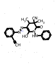 C#Cc1ccccc1/N=N/C1=C(O)N(Nc2ccccc2)C(=O)C(C)(C#N)C1C